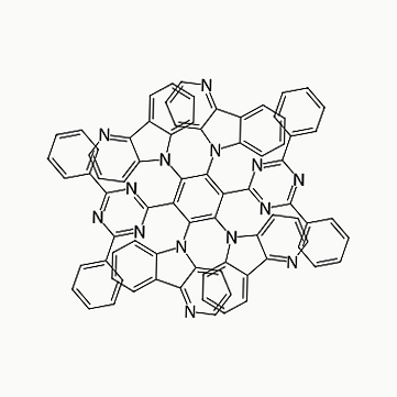 c1ccc(-c2nc(-c3ccccc3)nc(-c3c(-n4c5ccccc5c5ncccc54)c(-n4c5ccccc5c5ncccc54)c(-c4nc(-c5ccccc5)nc(-c5ccccc5)n4)c(-n4c5ccccc5c5ncccc54)c3-n3c4ccccc4c4ncccc43)n2)cc1